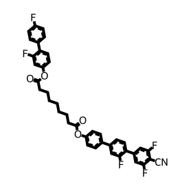 N#Cc1c(F)cc(-c2ccc(-c3ccc(OC(=O)CCCCCCCC(=O)Oc4ccc(-c5ccc(F)cc5)c(F)c4)cc3)cc2F)cc1F